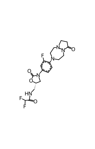 O=C(NC[C@H]1CN(c2ccc(N3CCN4CCC(=O)N4CC3)c(F)c2)C(=O)O1)C(F)F